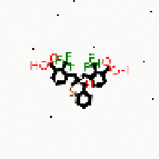 O=C(O)c1cccc(CC2(Cc3cccc(C(=O)O)c3C(F)(F)F)CSc3ccccc3C2=O)c1C(F)(F)F